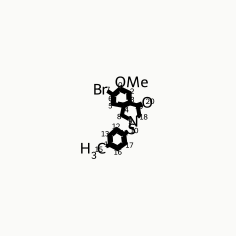 COc1cc2c(cc1Br)CN(Sc1ccc(C)cc1)CC2=O